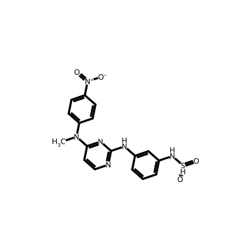 CN(c1ccc([N+](=O)[O-])cc1)c1ccnc(Nc2cccc(N[SH](=O)=O)c2)n1